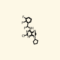 Fc1cccc(C(F)Nc2nc(Cl)nc3c2ncn3C2CCCC2)c1F